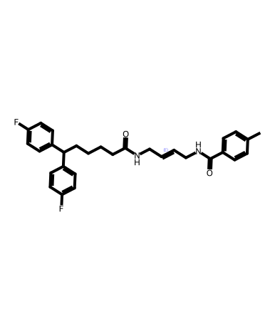 Cc1ccc(C(=O)NC/C=C/CNC(=O)CCCCC(c2ccc(F)cc2)c2ccc(F)cc2)cc1